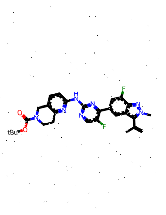 C=C(C)c1c2cc(-c3nc(Nc4ccc5c(n4)CCN(C(=O)OC(C)(C)C)C5)ncc3F)cc(F)c2nn1C